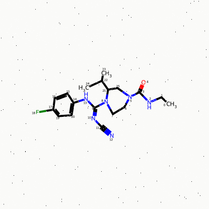 CCNC(=O)N1CCN(/C(=N\C#N)Nc2ccc(F)cc2)C(C(C)C)C1